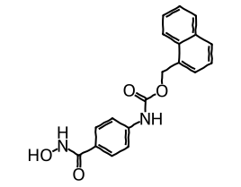 O=C(Nc1ccc(C(=O)NO)cc1)OCc1cccc2ccccc12